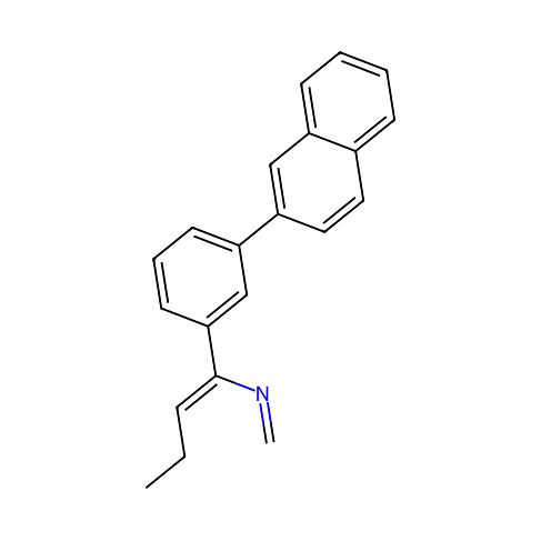 C=N/C(=C\CC)c1cccc(-c2ccc3ccccc3c2)c1